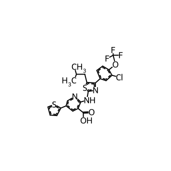 CC(C)Cc1sc(Nc2ncc(-c3cccs3)cc2C(=O)O)nc1-c1ccc(OC(F)(F)F)c(Cl)c1